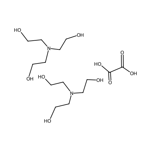 O=C(O)C(=O)O.OCCN(CCO)CCO.OCCN(CCO)CCO